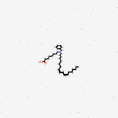 CCCCCC/C=C\C/C=C\CCCCCCCN(CCCCCCCC(=O)O)Cc1ccccc1